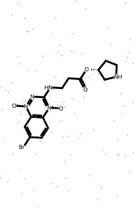 O=C(CCNc1n[n+]([O-])c2cc(Br)ccc2[n+]1[O-])O[C@@H]1CCNC1